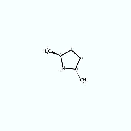 C[C@H]1CC[C@H](C)[N]1